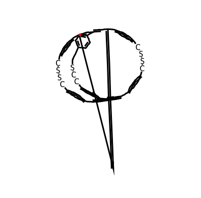 c1cc2ccc1CCSCc1ccc(cc1)-c1cc3cc(c1)-c1ccc(cc1)CSSCc1ccc(cc1)-c1cc-2cc(c1)-c1ccc(cc1)CSSCc1ccc-3cc1